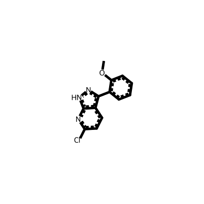 COc1ccccc1-c1n[nH]c2nc(Cl)ccc12